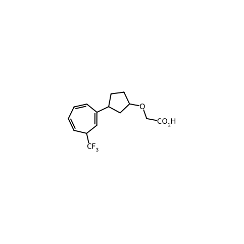 O=C(O)COC1CCC(C2=CC(C(F)(F)F)C=CC=C2)C1